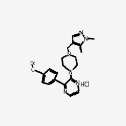 CCOc1ccc(-c2nccnc2N2CCN(Cc3cnn(C)c3C)CC2)cc1.Cl